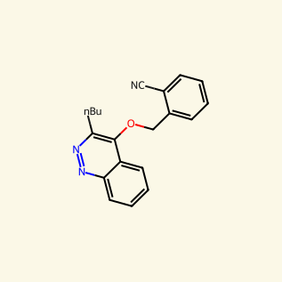 CCCCc1nnc2ccccc2c1OCc1ccccc1C#N